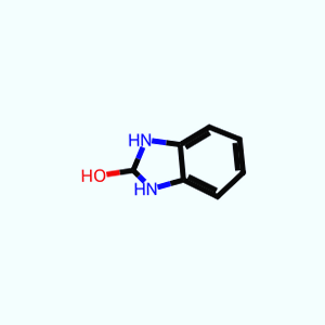 OC1Nc2ccccc2N1